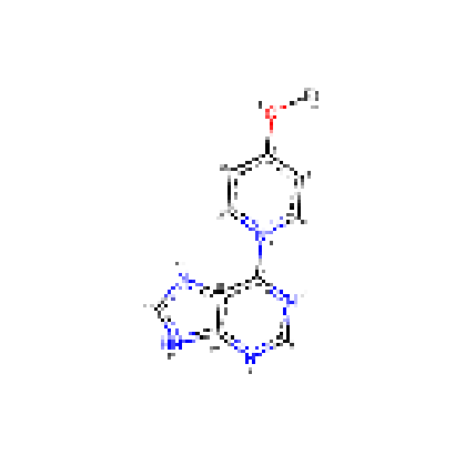 CCOc1cc[n+](-c2ncnc3[nH]cnc23)cc1